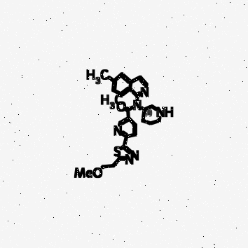 COCCc1nnc(-c2ccc(C(=O)N(c3nccc4cc(C)cc(C)c34)[C@@H]3CCCNC3)cn2)s1